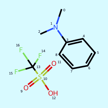 CN(C)c1ccccc1.O=S(=O)(O)C(F)(F)F